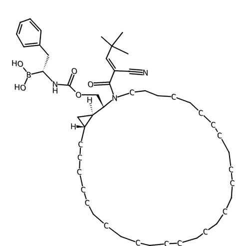 CC(C)(C)C=C(C#N)C(=O)N1CCCCCCCCCCCCCCCCCCCCCCCCCCCC[C@@H]2C[C@H]2[C@H]1COC(=O)N[C@@H](Cc1ccccc1)B(O)O